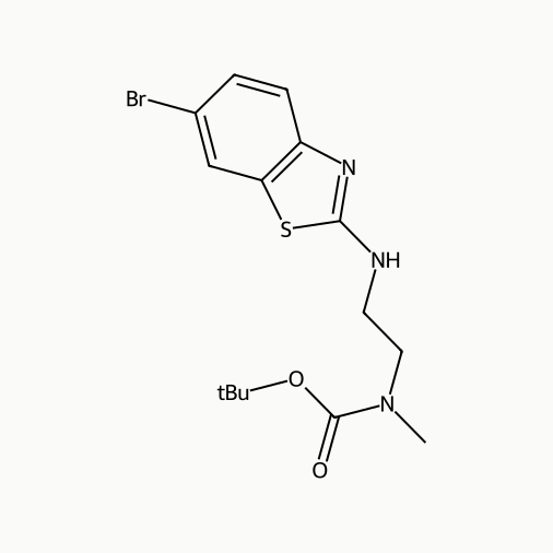 CN(CCNc1nc2ccc(Br)cc2s1)C(=O)OC(C)(C)C